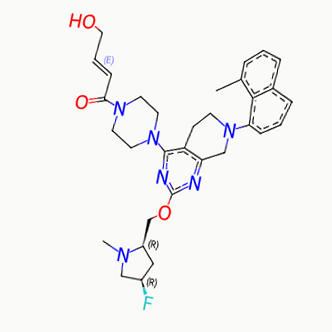 Cc1cccc2cccc(N3CCc4c(nc(OC[C@H]5C[C@@H](F)CN5C)nc4N4CCN(C(=O)/C=C/CO)CC4)C3)c12